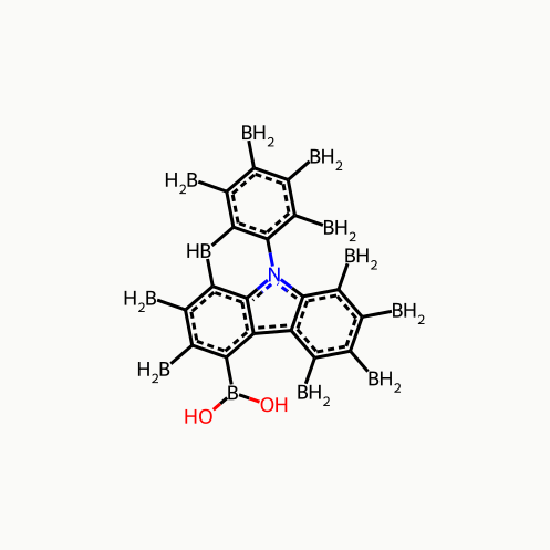 Bc1c(B)c(B)c2c(c1B)Bc1c(B)c(B)c(B(O)O)c3c4c(B)c(B)c(B)c(B)c4n-2c13